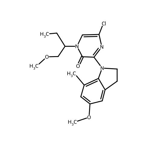 CCC(COC)n1cc(Cl)nc(N2CCc3cc(OC)cc(C)c32)c1=O